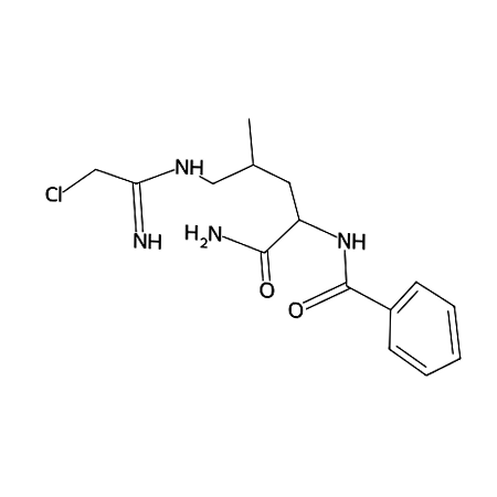 CC(CNC(=N)CCl)CC(NC(=O)c1ccccc1)C(N)=O